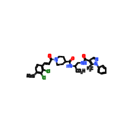 CSc1ccc(C=CC(=O)N2CCC(C(=O)NC(CNC(=O)c3cnn(-c4ccccc4)c3C(F)(F)F)C(=O)O)CC2)c(Cl)c1Cl